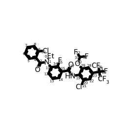 CCN(C(=O)c1ccccc1Cl)c1cccc(C(=O)Nc2c(Cl)cc(C(F)(C(F)(F)F)C(F)(F)F)cc2OC(F)F)c1F